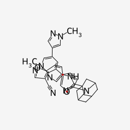 COc1ccc(NC(=O)C23CC4CC(C2)N(c2ccc(-c5cc(-c6cnn(C)c6)cn6ncc(C#N)c56)cn2)C(C4)C3)cn1